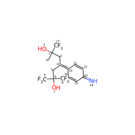 CC(O)(CC(CC(O)(C(F)(F)F)C(F)(F)F)=C1C=CC(=N)C=C1)C(F)(F)F